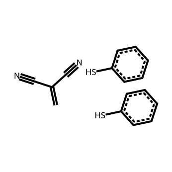 C=C(C#N)C#N.Sc1ccccc1.Sc1ccccc1